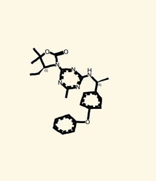 CC[C@@H]1N(c2nc(C)nc(N[C@@H](C)c3ccc(Oc4ccccc4)cc3)n2)C(=O)OC1(C)C